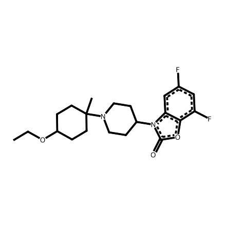 CCOC1CCC(C)(N2CCC(n3c(=O)oc4c(F)cc(F)cc43)CC2)CC1